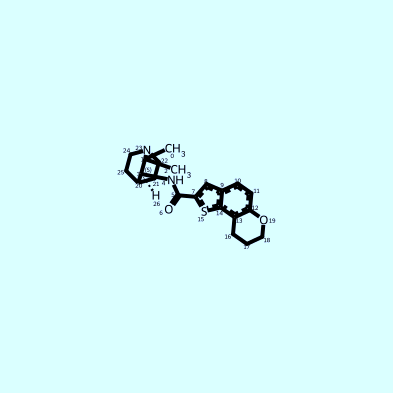 CC1(C)[C@@H](NC(=O)c2cc3ccc4c(c3s2)CCCO4)C2CCN1CC2